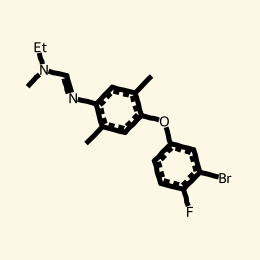 CCN(C)/C=N/c1cc(C)c(Oc2ccc(F)c(Br)c2)cc1C